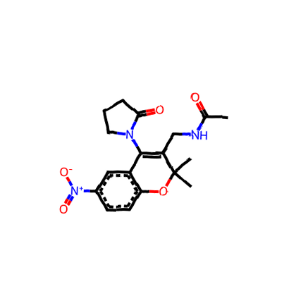 CC(=O)NCC1=C(N2CCCC2=O)c2cc([N+](=O)[O-])ccc2OC1(C)C